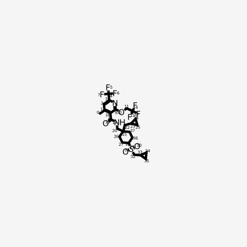 Cc1cc(C(F)(F)F)nc(OCC(F)(F)F)c1C(=O)NCC1(CC2CC2)CCC(S(=O)(=O)CC2CC2)CC1